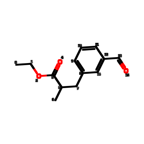 CCOC(=O)C(C)Cc1cccc(C=O)c1